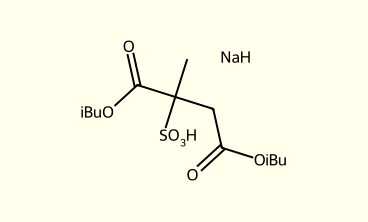 CC(C)COC(=O)CC(C)(C(=O)OCC(C)C)S(=O)(=O)O.[NaH]